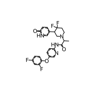 CC(C(=O)Nc1ccc(Oc2ccc(F)cc2F)cn1)N1CCC(F)(F)C(c2ccc(=O)[nH]c2)C1